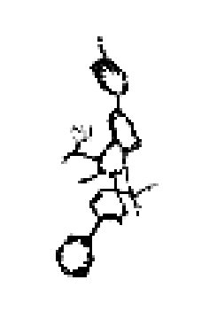 Cc1c(C2(C(F)(F)F)C=CC(c3ccccc3)=CC2)nc2ccc(-c3ccc(F)cc3)cc2c1C(=O)O